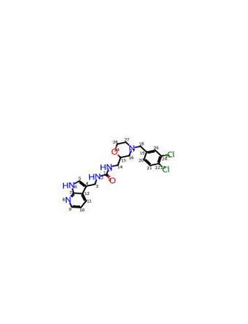 O=C(NCc1c[nH]c2ncccc12)NCC1CN(Cc2ccc(Cl)c(Cl)c2)CCO1